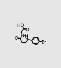 O=C(O)CN1N=C(c2ccc(Br)cc2)CCC1=O